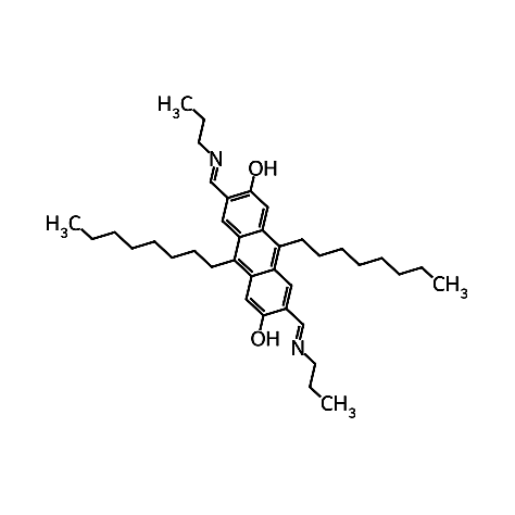 CCCCCCCCc1c2cc(O)c(/C=N/CCC)cc2c(CCCCCCCC)c2cc(O)c(/C=N/CCC)cc12